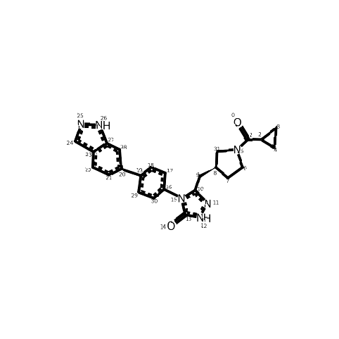 O=C(C1CC1)N1CC[C@@H](Cc2n[nH]c(=O)n2-c2ccc(-c3ccc4cn[nH]c4c3)cc2)C1